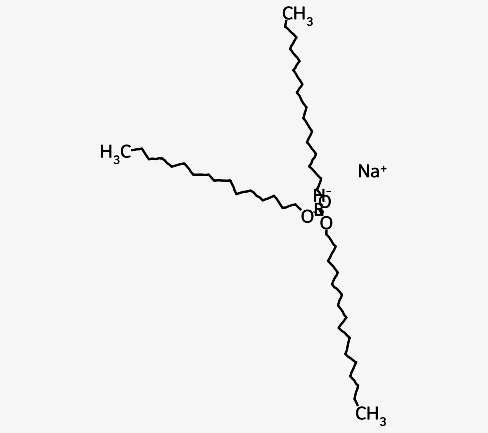 CCCCCCCCCCCCCCCCO[BH-](OCCCCCCCCCCCCCCCC)OCCCCCCCCCCCCCCCC.[Na+]